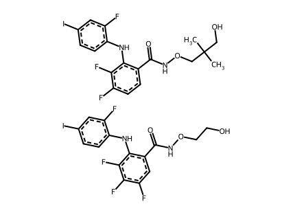 CC(C)(CO)CONC(=O)c1ccc(F)c(F)c1Nc1ccc(I)cc1F.O=C(NOCCO)c1cc(F)c(F)c(F)c1Nc1ccc(I)cc1F